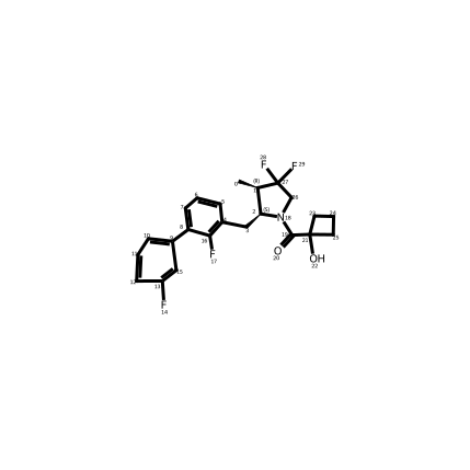 C[C@@H]1[C@H](Cc2cccc(-c3cccc(F)c3)c2F)N(C(=O)C2(O)CCC2)CC1(F)F